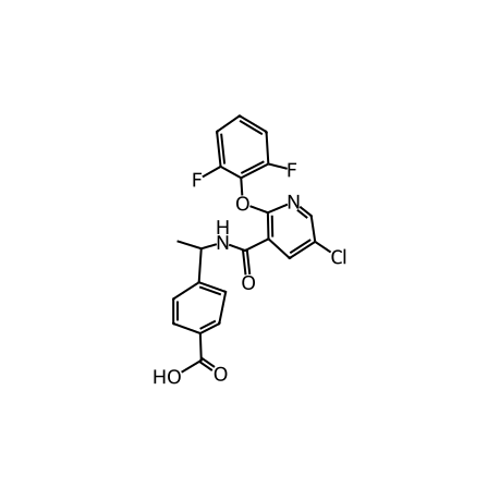 CC(NC(=O)c1cc(Cl)cnc1Oc1c(F)cccc1F)c1ccc(C(=O)O)cc1